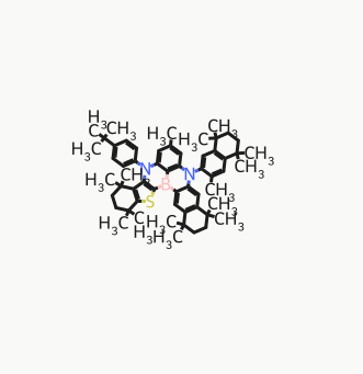 Cc1cc2c3c(c1)N(c1ccc(C(C)(C)C)cc1)c1c(sc4c1C(C)(C)CCC4(C)C)B3c1cc3c(cc1N2c1cc2c(cc1C)C(C)(C)CCC2(C)C)C(C)(C)CCC3(C)C